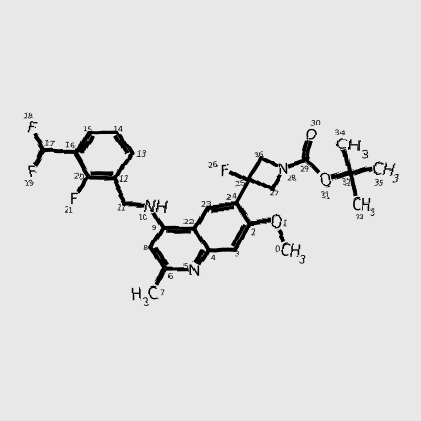 COc1cc2nc(C)cc(NCc3cccc(C(F)F)c3F)c2cc1C1(F)CN(C(=O)OC(C)(C)C)C1